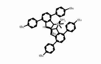 CCCCC1=Cc2c(-c3ccc(C(C)(C)C)cc3)ccc(-c3ccc(C(C)(C)C)cc3)c2[CH]1[Zr]([CH3])([CH3])(=[SiH2])[CH]1C(CCCC)=Cc2c(-c3ccc(C(C)(C)C)cc3)ccc(-c3ccc(C(C)(C)C)cc3)c21